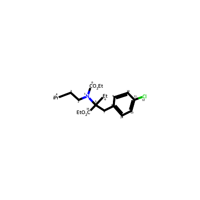 CCOC(=O)N(CCC(C)C)C(CC)(Cc1ccc(Cl)cc1)C(=O)OCC